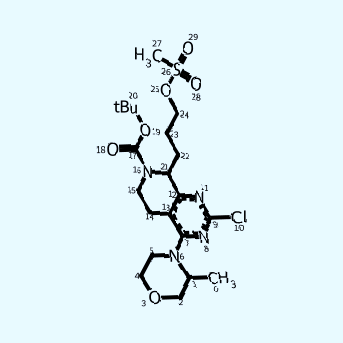 CC1COCCN1c1nc(Cl)nc2c1CCN(C(=O)OC(C)(C)C)C2CCCOS(C)(=O)=O